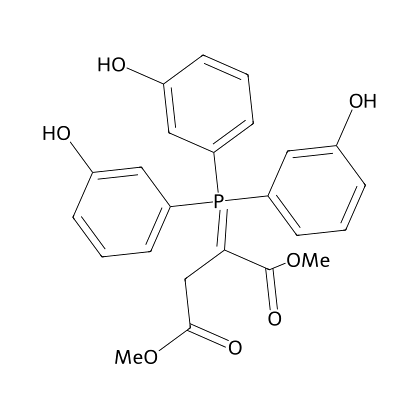 COC(=O)CC(C(=O)OC)=P(c1cccc(O)c1)(c1cccc(O)c1)c1cccc(O)c1